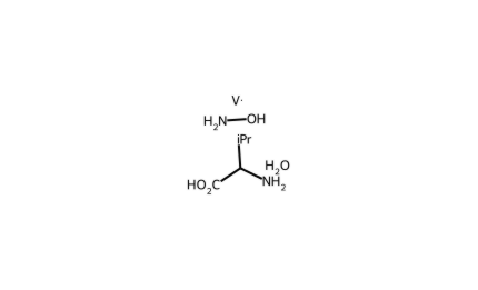 CC(C)C(N)C(=O)O.NO.O.[V]